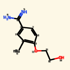 CCCCc1cc(C(=N)N)ccc1OCCO